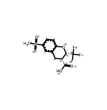 CS(=O)(=O)c1ccc2c(c1)C[C@@H](C(=O)O)[C@@H](C(F)(F)F)O2